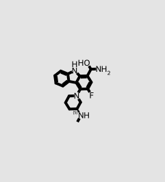 CN[C@H]1CCCN(c2c(F)cc(C(N)O)c3[nH]c4ccccc4c23)C1